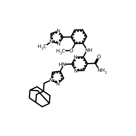 COc1c(Nc2nc(Nc3cnn(CC45CC6CC(CC(C6)C4)C5)c3)ncc2C(N)=O)cccc1-c1ncn(C)n1